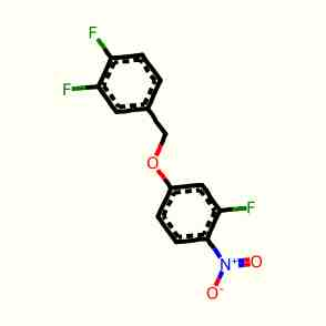 O=[N+]([O-])c1ccc(OCc2ccc(F)c(F)c2)cc1F